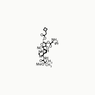 COC(C)(C)C(=O)Nc1ncnn2c([C@]3(C#N)O[C@H](COC(=O)CC4CCC4)[C@@H](OC(=O)[C@H](N)C(C)C)[C@H]3O)ccc12